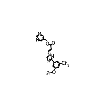 CC(C)Oc1cc(-c2ncn(C=CC(=O)OCc3cncnc3)n2)cc(C(F)(F)F)c1